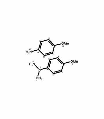 COc1ccc(N(N)N)cc1.COc1ccc(N)cc1